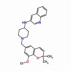 CCOc1cc(CN2CCC(Nc3cnc4ccccc4c3)CC2)cc2c1OC(C)(C)C=C2